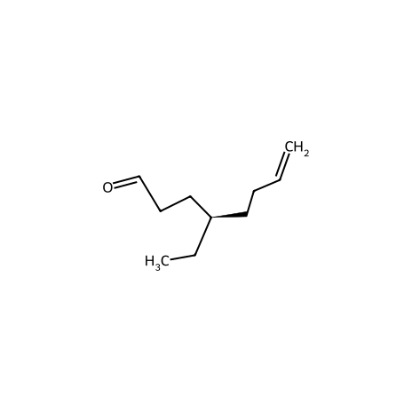 C=CCC[C@@H](CC)CCC=O